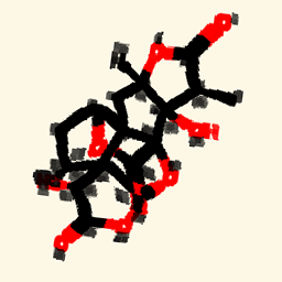 C[C@@H]1C(=O)O[C@H]2CC34C5C[C@@H](C(C)(C)C)C36C(OC(=O)[C@@H]6O)OC4(C(=O)O5)[C@]21O